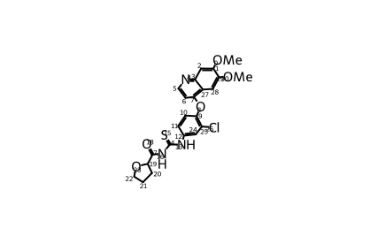 COc1cc2nccc(Oc3ccc(NC(=S)NC(=O)C4CCCO4)cc3Cl)c2cc1OC